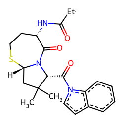 C[CH]C(=O)N[C@H]1CCS[C@H]2CC(C)(C)[C@@H](C(=O)n3ccc4ccccc43)N2C1=O